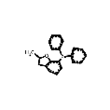 CC1Cc2cccc(P(c3ccccc3)c3ccccc3)c2O1